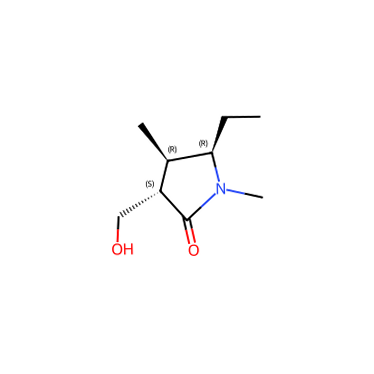 CC[C@@H]1[C@H](C)[C@@H](CO)C(=O)N1C